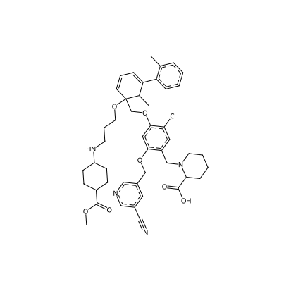 COC(=O)C1CCC(NCCCOC2(COc3cc(OCc4cncc(C#N)c4)c(CN4CCCCC4C(=O)O)cc3Cl)C=CC=C(c3ccccc3C)C2C)CC1